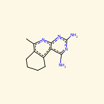 Cc1nc2nc(N)nc(N)c2c2c1CCCC2